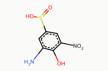 Nc1cc(S(=O)O)cc([N+](=O)[O-])c1O